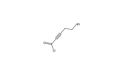 CCCCCC#CC(=O)Cl